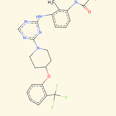 CC(=O)Nc1cccc(Nc2ncnc(N3CCC(Oc4ccccc4C(F)(F)F)CC3)n2)c1C